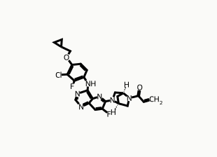 C=CC(=O)N1C[C@@H]2C[C@H]1CN2c1nc2c(Nc3ccc(OCC4CC4)c(Cl)c3F)ncnc2cc1F